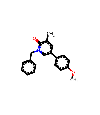 COc1ccc(-c2cc(C)c(=O)n(Cc3ccccc3)c2)cc1